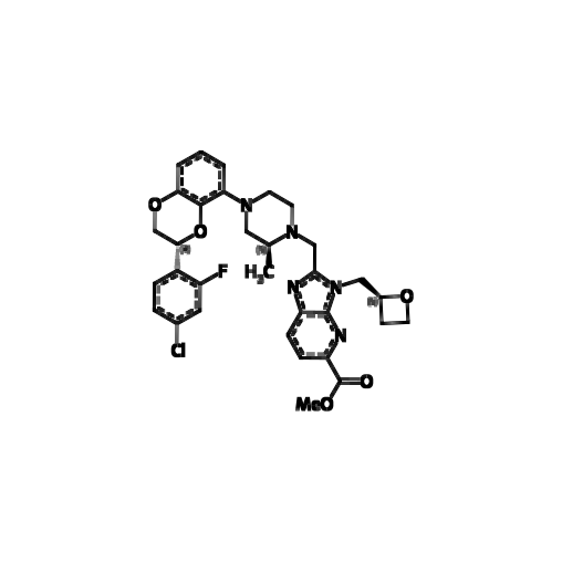 COC(=O)c1ccc2nc(CN3CCN(c4cccc5c4O[C@H](c4ccc(Cl)cc4F)CO5)C[C@@H]3C)n(C[C@@H]3CCO3)c2n1